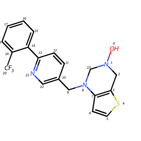 ON1Cc2sccc2N(Cc2ccc(-c3ccccc3C(F)(F)F)nc2)C1